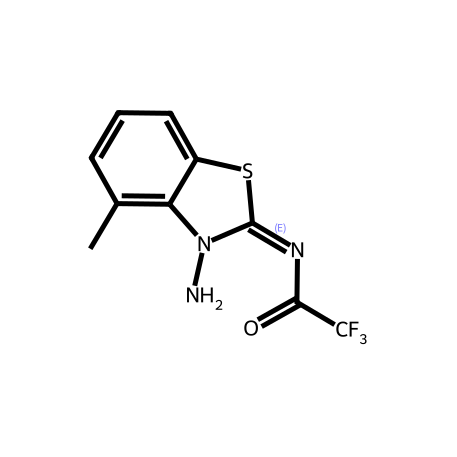 Cc1cccc2s/c(=N/C(=O)C(F)(F)F)n(N)c12